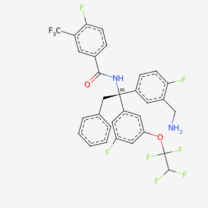 NCc1cc([C@@](Cc2ccccc2)(NC(=O)c2ccc(F)c(C(F)(F)F)c2)c2cc(F)cc(OC(F)(F)C(F)F)c2)ccc1F